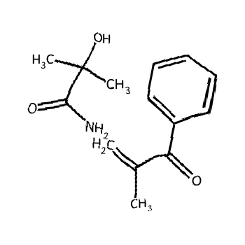 C=C(C)C(=O)c1ccccc1.CC(C)(O)C(N)=O